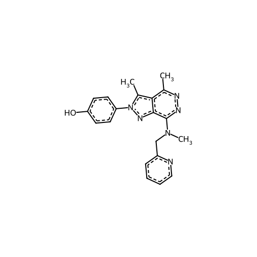 Cc1nnc(N(C)Cc2ccccn2)c2nn(-c3ccc(O)cc3)c(C)c12